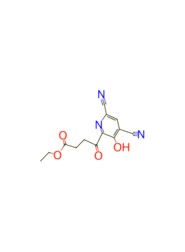 CCOC(=O)CCC(=O)c1nc(C#N)cc(C#N)c1O